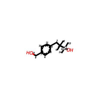 CC(C)(Cc1ccc(CO)cc1)[Si](C)(C)O